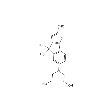 CC1(C)c2cc(N(CCO)CCO)ccc2-c2sc(C=O)cc21